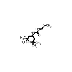 COCNC(=O)NC1CC(C)(C)NC(C)(C)C1